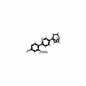 COc1cc(F)ccc1-c1ccc(C23CCN(CC2)C3)cn1